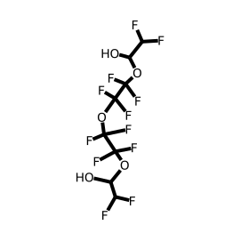 OC(OC(F)(F)C(F)(F)OC(F)(F)C(F)(F)OC(O)C(F)F)C(F)F